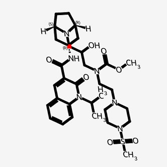 COC(=O)N(CCN1CCN(S(C)(=O)=O)CC1)CC(O)CN1[C@@H]2CC[C@H]1C[C@@H](NC(=O)c1cc3ccccc3n(C(C)C)c1=O)C2